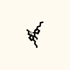 CCCCC1=C[C](CCC)([Zr][C]2(CCC)C=CC(CCCC)=C2)C=C1